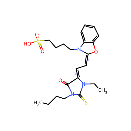 CCCCN1C(=O)/C(=C/C=C2/Oc3ccccc3N2CCCCS(=O)(=O)O)N(CC)C1=S